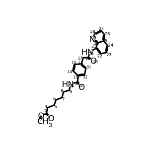 COC(=O)CCCCCCNC(=O)c1ccc(CC(=O)Nc2cccc3cccnc23)cc1